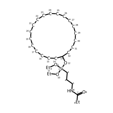 CCO[Si](CCCNC(=O)CC)(OCC)OC1CCCCCCCCCCCCCCCCCCC1